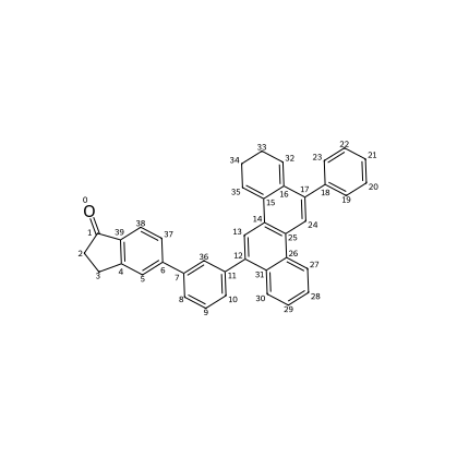 O=C1CCc2cc(-c3cccc(-c4cc5c6c(c(-c7ccccc7)cc5c5ccccc45)=CCCC=6)c3)ccc21